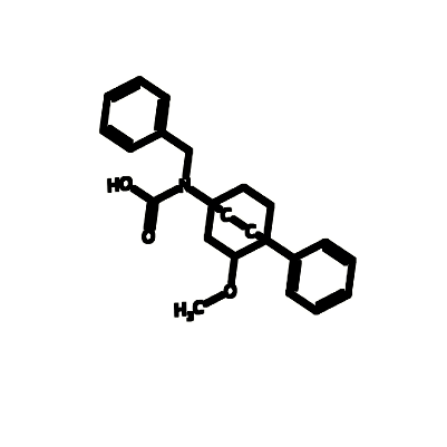 COC1CC2(N(Cc3ccccc3)C(=O)O)CCC1(c1ccccc1)CC2